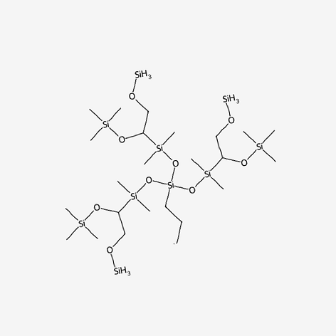 [CH2]CC[Si](O[Si](C)(C)C(CO[SiH3])O[Si](C)(C)C)(O[Si](C)(C)C(CO[SiH3])O[Si](C)(C)C)O[Si](C)(C)C(CO[SiH3])O[Si](C)(C)C